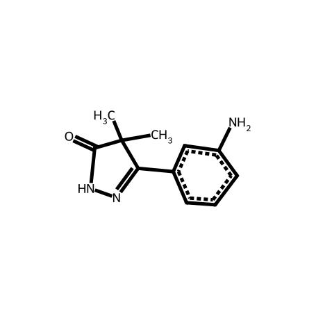 CC1(C)C(=O)NN=C1c1cccc(N)c1